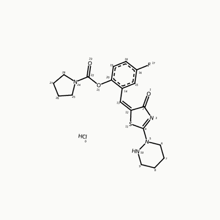 Cl.O=C1N=C(N2CCCCN2)S/C1=C/c1cc(F)ccc1OC(=O)N1CCCC1